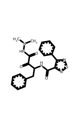 CN(C)NC(=O)C(=O)C(Cc1ccccc1)NC(=O)c1nsnc1-c1ccccc1